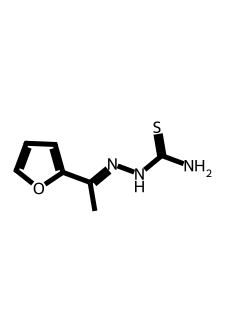 CC(=NNC(N)=S)c1ccco1